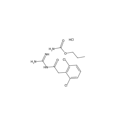 CCCOC(N)=O.Cl.N=C(N)NC(=O)Cc1c(Cl)cccc1Cl